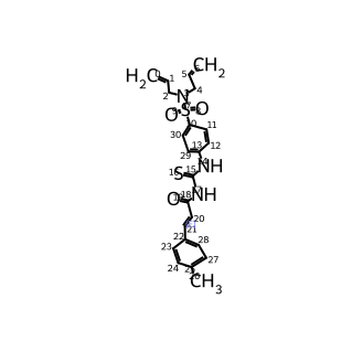 C=CCN(CC=C)S(=O)(=O)c1ccc(NC(=S)NC(=O)/C=C/c2ccc(C)cc2)cc1